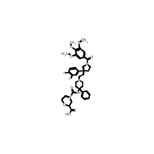 COc1cc(C(=O)N2CCC(CCN3CCC(NC(=O)N4CCOC(C(=O)O)C4)(c4ccccc4)CC3)(c3ccc(Cl)c(Cl)c3)C2)cc(OC)c1OC